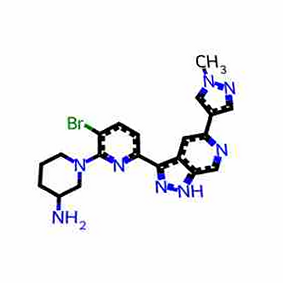 Cn1cc(-c2cc3c(-c4ccc(Br)c(N5CCCC(N)C5)n4)n[nH]c3cn2)cn1